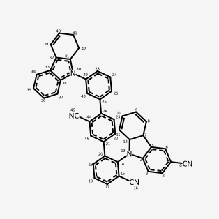 N#Cc1ccc2c(c1)C1C=CC=CC1N2c1c(C#N)cccc1-c1ccc(-c2cccc(-n3c4c(c5ccccc53)C=CCC4)c2)c(C#N)c1